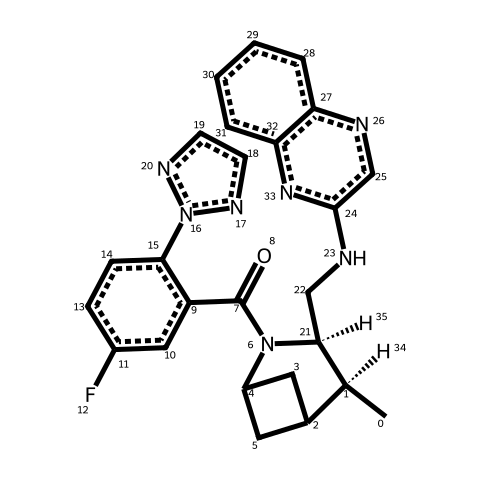 C[C@H]1C2CC(C2)N(C(=O)c2cc(F)ccc2-n2nccn2)[C@H]1CNc1cnc2ccccc2n1